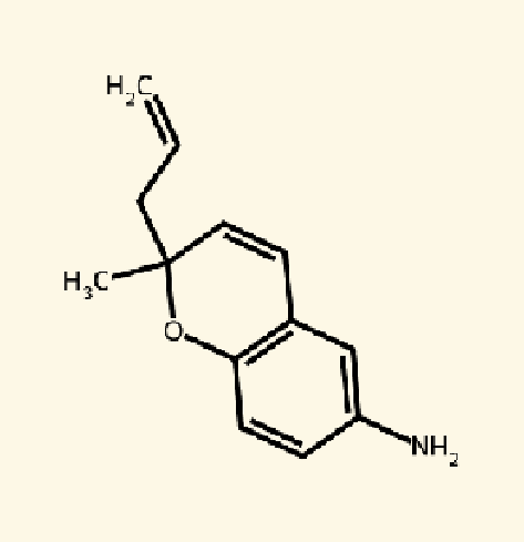 C=CCC1(C)C=Cc2cc(N)ccc2O1